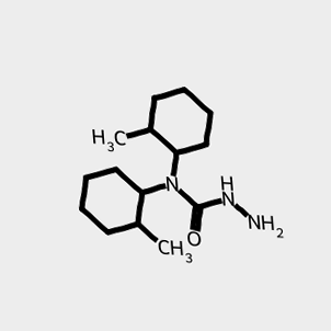 CC1CCCCC1N(C(=O)NN)C1CCCCC1C